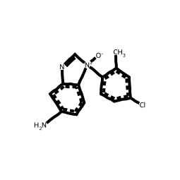 Cc1cc(Cl)ccc1[N+]1([O-])C=Nc2cc(N)ccc21